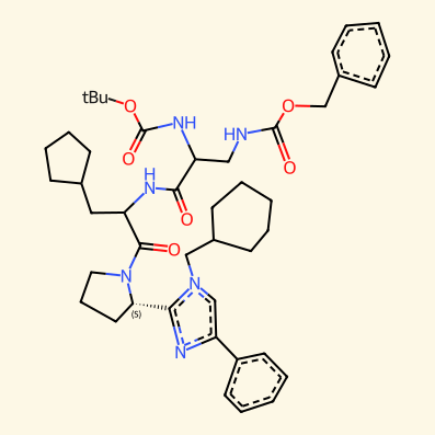 CC(C)(C)OC(=O)NC(CNC(=O)OCc1ccccc1)C(=O)NC(CC1CCCC1)C(=O)N1CCC[C@H]1c1nc(-c2ccccc2)cn1CC1CCCCC1